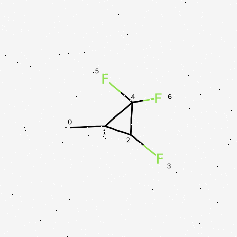 [CH2]C1C(F)C1(F)F